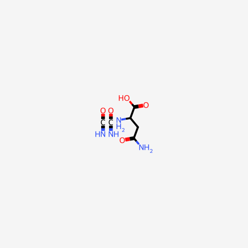 N=C=O.N=C=O.NC(=O)CC(N)C(=O)O